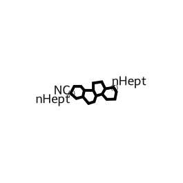 CCCCCCC[C@H]1CCCC2C3CCC4C[C@](C#N)(CCCCCCC)CCC4C3CCC21